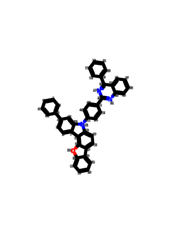 c1ccc(-c2ccc3c4c5oc6ccccc6c5ccc4n(-c4ccc(-c5nc(-c6ccccc6)c6ccccc6n5)cc4)c3c2)cc1